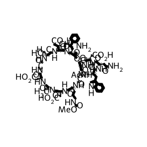 COC(=O)NCCC[C@@H]1NC(=O)CNC(=O)[C@@H](NC(=O)[C@H](CC(=O)O)NC(=O)[C@@H](CC(N)=O)NC(=O)[C@H](Cc2c[nH]c3ccccc23)NC(C)=O)[C@@H](C)OC(=O)[C@H](CC(=O)c2ccccc2N)NC(=O)[C@H]([C@@H](C)CC(=O)O)NC(C)[C@@H](CO)NC(=O)CNC(=O)[C@H](CC(=O)O)NC(=O)[C@@H](C)NC(=O)[C@H](CC(=O)O)NC1=O